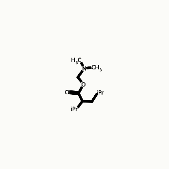 CC(C)CC(C(=O)OCN(C)C)C(C)C